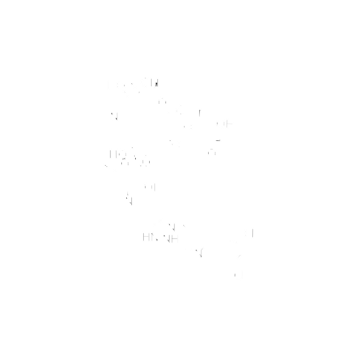 CC[C@H]1OC(=O)[C@H](C)[C@@H](O[C@H]2C[C@@](C)(OC)[C@@H](O)[C@H](C)O2)[C@H](C)[C@@H](O[C@@H]2O[C@H](C)C[C@H](N(C)CCC3=CN(C[C@H]4CC(c5cc(Cl)cc(Cl)c5)=NO4)NN3)[C@H]2O)[C@](C)(O)CCN(C)[C@H](C)[C@@H](O)[C@]1(C)O